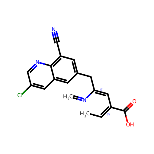 C=N/C(=C\C(=C/C)C(=O)O)Cc1cc(C#N)c2ncc(Cl)cc2c1